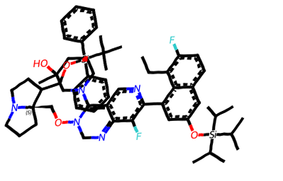 CCc1c(F)ccc2cc(O[Si](C(C)C)(C(C)C)C(C)C)cc(-c3ncc4c(c3F)=NCN(OC[C@@]35CCCN3CCC5CO[Si](c3ccccc3)(c3ccccc3)C(C)(C)C)C=4N3CCCC(C)(O)C3)c12